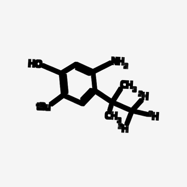 [2H]C([2H])([2H])C(C)(C)c1cc(C(C)(C)C)c(O)cc1N